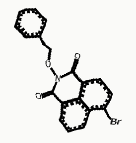 O=C1c2cccc3c(Br)ccc(c23)C(=O)N1OCc1ccccc1